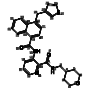 O=C(NCC1CCOCC1)c1ncccc1NC(=O)c1ccc(Cc2ccsc2)c2ccccc12